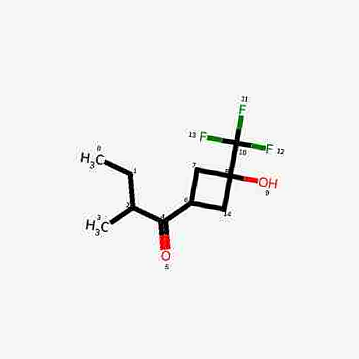 CCC(C)C(=O)C1CC(O)(C(F)(F)F)C1